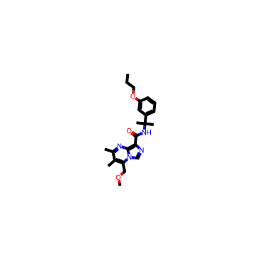 CCCOc1cccc(C(C)(C)NC(=O)c2ncn3c(COC)c(C)c(C)nc23)c1